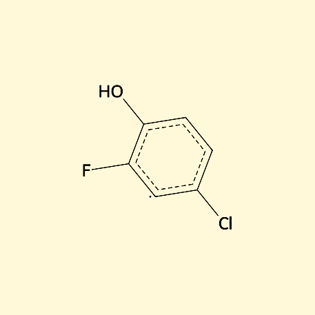 Oc1ccc(Cl)[c]c1F